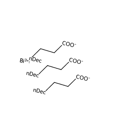 CCCCCCCCCCCCC(=O)[O-].CCCCCCCCCCCCC(=O)[O-].CCCCCCCCCCCCC(=O)[O-].[Bi+3]